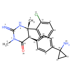 CN1C(=N)N[C@](C)(c2ccccc2Cl)[C@@H](c2ccc(C3(N)CC3)cc2)C1=O